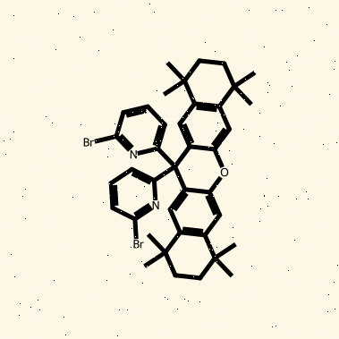 CC1(C)CCC(C)(C)c2cc3c(cc21)Oc1cc2c(cc1C3(c1cccc(Br)n1)c1cccc(Br)n1)C(C)(C)CCC2(C)C